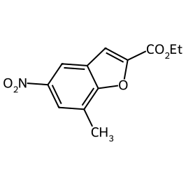 CCOC(=O)c1cc2cc([N+](=O)[O-])cc(C)c2o1